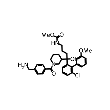 COC(=O)NCCCC(O)(c1cccc(Cl)c1-c1cccc(OC)c1)C1CCCN(C(=O)c2ccc(CN)cc2)C1